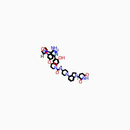 CN(C(=O)N1CCC(Oc2cc(F)cc(N3CC4CN(c5cc(-c6ccccc6O)nnc5N)C[C@H]3CO4)c2)CC1)C1CCN(c2cccc3c2CCN3[C@@]2(C)CCC(=O)NC2=O)CC1